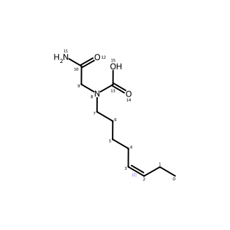 CC/C=C\CCCCN(CC(N)=O)C(=O)O